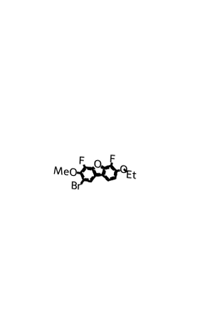 CCOc1ccc2c(oc3c(F)c(OC)c(Br)cc32)c1F